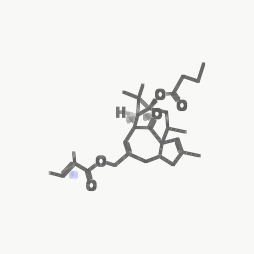 C/C=C(\C)C(=O)OCC1=CC2C(=O)C3(C=C(C)CC3C1)C(C)C[C@]1(OC(=O)CCC)[C@@H]2C1(C)C